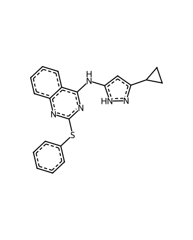 c1ccc(Sc2nc(Nc3cc(C4CC4)n[nH]3)c3ccccc3n2)cc1